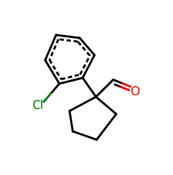 O=CC1(c2ccccc2Cl)CCCC1